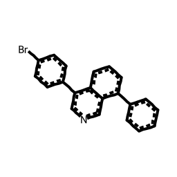 Brc1ccc(-c2cncc3c(-c4ccccc4)cccc23)cc1